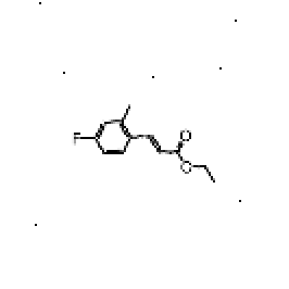 CCOC(=O)C=Cc1ccc(F)cc1C